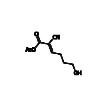 CC(=O)OC(=O)C(C#N)=CCCCO